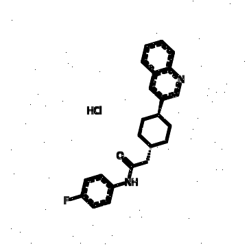 Cl.O=C(C[C@H]1CC[C@H](c2cnc3ccccc3c2)CC1)Nc1ccc(F)cc1